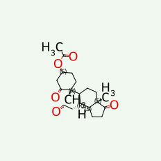 CC(=O)O[C@H]1CC[C@](C)(C2CC[C@]3(C)C(=O)CC[C@H]3[C@@H]2CC=O)C(=O)C1